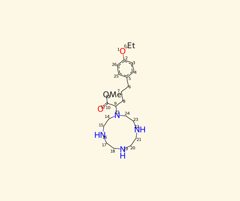 CCOc1ccc(CCCC(C(=O)OC)N2CCNCCNCCNCC2)cc1